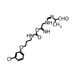 CC(C=O)/N=C\NCC(=N)OC(=O)NCCCOc1cccc(Cl)c1